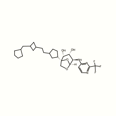 O[C@@H]1[C@@H](Nc2ccnc(C(F)(F)F)n2)[C@H]2OC[C@](C3CCC(CCC4CC(CC5CCCC5)C4)C3)(O2)[C@@H]1O